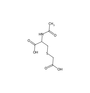 CC(=O)NC(CSCC(=O)O)C(=O)O